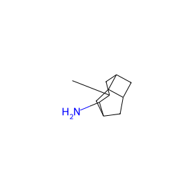 CC1CC2CC3CC(CC23)C1N